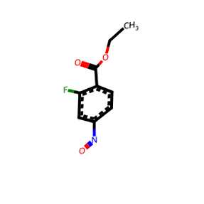 CCOC(=O)c1ccc(N=O)cc1F